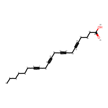 CCCCCCC#CCC#CCC#CCC#CCCCC(=O)O